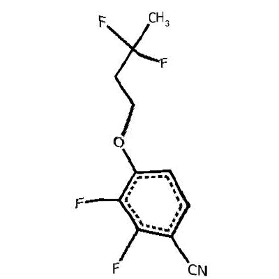 CC(F)(F)CCOc1ccc(C#N)c(F)c1F